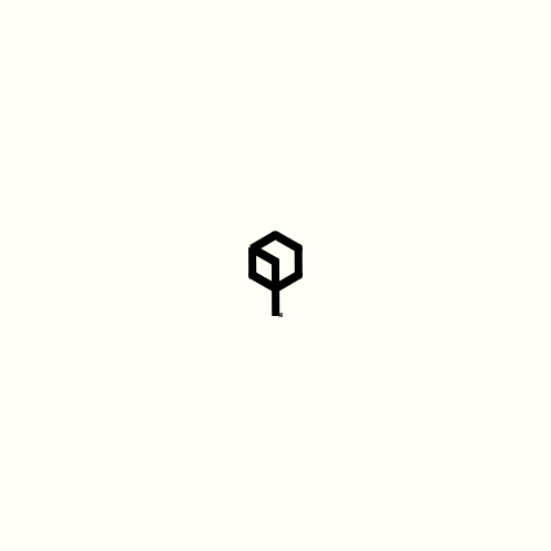 [CH2]C12CCCC(C1)C2